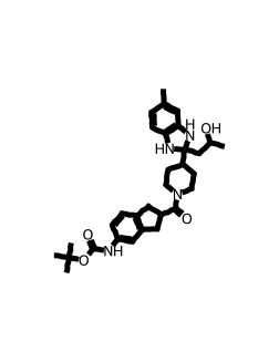 Cc1ccc2c(c1)NC(CC(C)O)(C1CCN(C(=O)C3Cc4ccc(NC(=O)OC(C)(C)C)cc4C3)CC1)N2